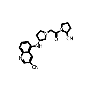 N#Cc1cnc2cccc(N[C@H]3CCN(CC(=O)N4CCCC4C#N)C3)c2c1